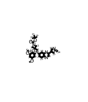 COc1cc(OC)cc(N(CC2(O)CN(C(=O)OC(C)(C)C)C2)c2ccc3ncc(-c4cnn(C)c4)nc3c2)c1